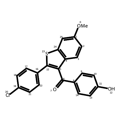 COc1ccc2c(C(=O)c3ccc(O)cc3)c(-c3ccc(Cl)cc3)sc2c1